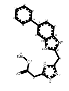 CC(C)(C)OC(=O)Cc1nnc(Cc2nc3ccc(-c4ccccc4)cc3s2)o1